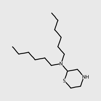 CCCCCCN(CCCCCC)C1CNCCS1